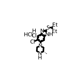 CCC(CC)Sc1nc2cc(Cl)c(N3CCN[C@@H](C)C3)cc2[nH]1.Cl.Cl